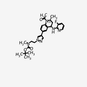 CC(=O)N1c2ccc(-c3cnn(CCN(C)C(=O)OC(C)(C)C)c3)cc2[C@H](Nc2ncccc2F)C[C@@H]1C